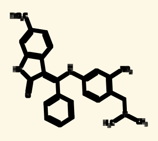 CCOC(=O)c1ccc2c(c1)NC(=O)C2=C(Nc1ccc(CN(C)C)c([N+](=O)[O-])c1)c1ccccc1